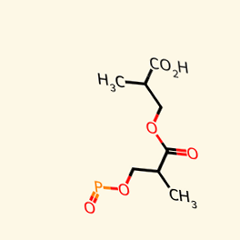 CC(COC(=O)C(C)COP=O)C(=O)O